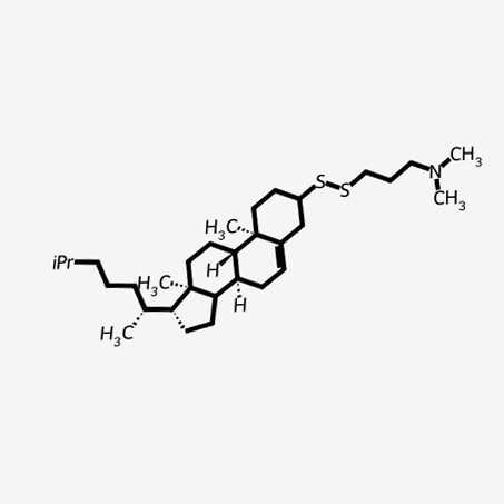 CC(C)CCC[C@@H](C)[C@H]1CCC2[C@@H]3CC=C4CC(SSCCCN(C)C)CC[C@]4(C)[C@H]3CC[C@@]21C